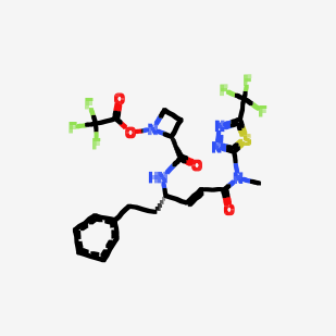 CN(C(=O)/C=C/[C@H](CCc1ccccc1)NC(=O)[C@@H]1CCN1OC(=O)C(F)(F)F)c1nnc(C(F)(F)F)s1